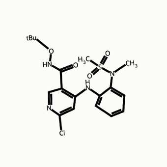 CN(c1ccccc1Nc1cc(Cl)ncc1C(=O)NOC(C)(C)C)S(C)(=O)=O